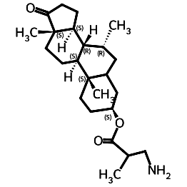 CC(CN)C(=O)O[C@H]1CC[C@@]2(C)C(C1)C[C@@H](C)[C@@H]1[C@@H]2CC[C@]2(C)C(=O)CC[C@@H]12